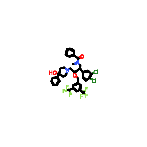 CN(CC(c1ccc(Cl)c(Cl)c1)C(CN1CCC(O)(c2ccccc2)CC1)OCc1cc(C(F)(F)F)cc(C(F)(F)F)c1)C(=O)c1ccccc1